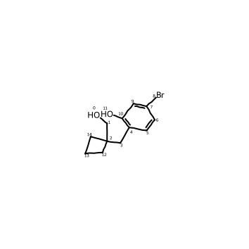 OCC1(Cc2ccc(Br)cc2O)CCC1